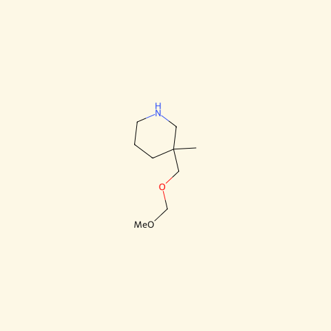 COCOCC1(C)CCCNC1